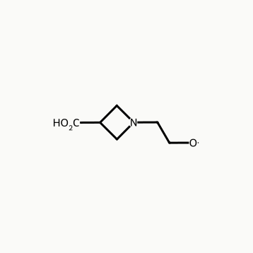 [O]CCN1CC(C(=O)O)C1